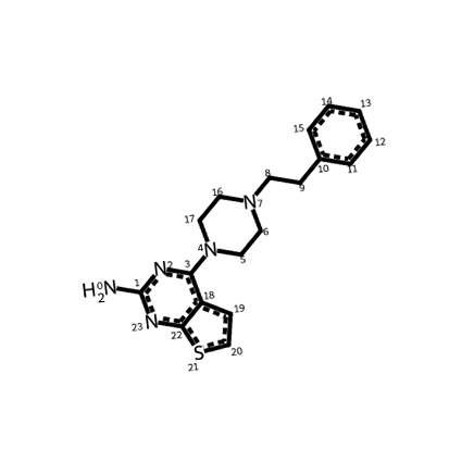 Nc1nc(N2CCN(CCc3ccccc3)CC2)c2ccsc2n1